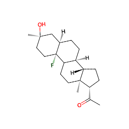 CC(=O)[C@H]1CC[C@H]2[C@@H]3CC[C@@H]4C[C@](C)(O)CC[C@]4(F)C3CC[C@]12C